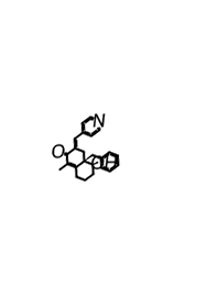 CC1=C2CCC[C@H](O)[C@@]2(Cc2ccccc2)C/C(=C\c2ccncc2)C1=O